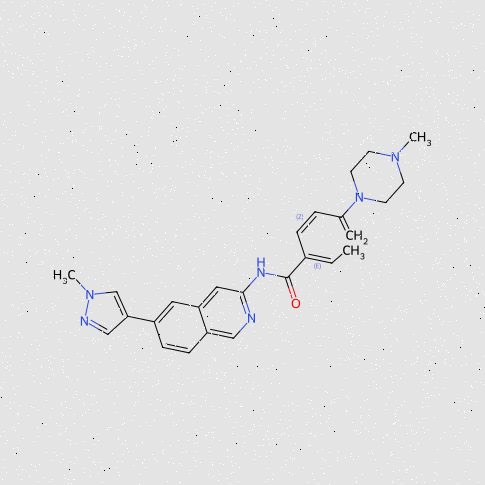 C=C(/C=C\C(=C/C)C(=O)Nc1cc2cc(-c3cnn(C)c3)ccc2cn1)N1CCN(C)CC1